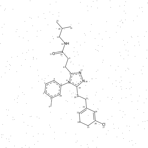 Cc1cccc(-n2c(CCC(=O)NCC(C)C)nnc2SCC2=CCCC(Cl)=C2)c1